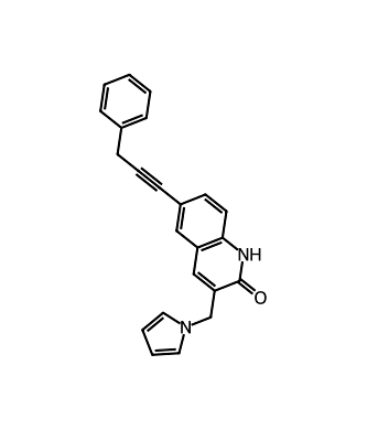 O=c1[nH]c2ccc(C#CCc3ccccc3)cc2cc1Cn1cccc1